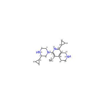 N#Cc1c(N2CCNC(C3CC3)C2)nc(C2CC2)c2c1CCNC2